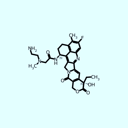 CC[C@@]1(O)C(=O)OCc2c1cc1n(c2=O)Cc2c-1nc1cc(F)c(C)c3c1c2[C@@H](NC(=O)CN(C)CCN)CC3